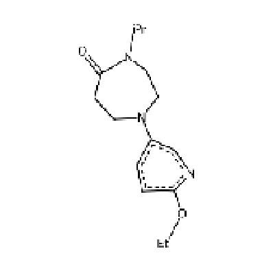 CCOc1ccc(N2CCC(=O)N(C(C)C)CC2)cn1